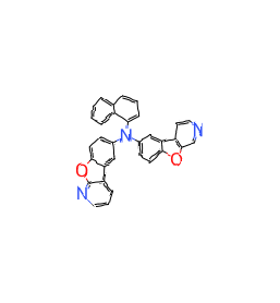 c1ccc2c(N(c3ccc4oc5cnccc5c4c3)c3ccc4oc5ncccc5c4c3)cccc2c1